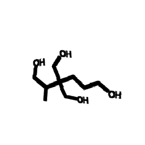 CC(CO)C(CO)(CO)CCCO